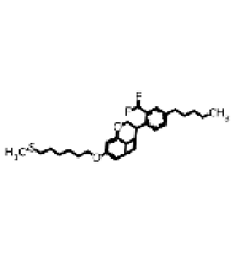 CCCCCc1ccc(C23COC4=CC(OCCCCCCSC)=CC(C2)C4C3)c(C(F)F)c1